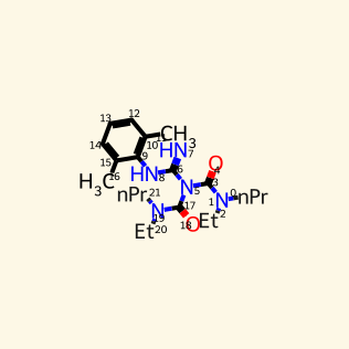 CCCN(CC)C(=O)N(C(=N)Nc1c(C)cccc1C)C(=O)N(CC)CCC